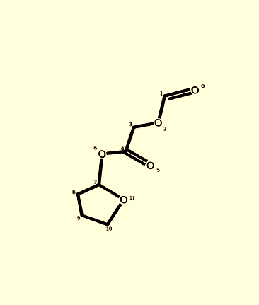 O=[C]OCC(=O)OC1CCCO1